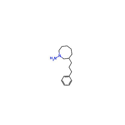 NN1CCCCCC(CCCc2ccccc2)C1